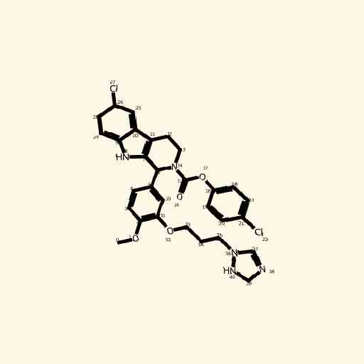 COc1ccc(C2c3[nH]c4c(c3CCN2C(=O)Oc2ccc(Cl)cc2)=CC(Cl)CC=4)cc1OCCCN1C=NCN1